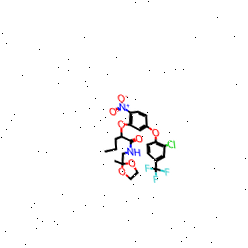 CCCC(Oc1cc(Oc2ccc(C(F)(F)F)cc2Cl)ccc1[N+](=O)[O-])C(=O)NCC1(C)OCCO1